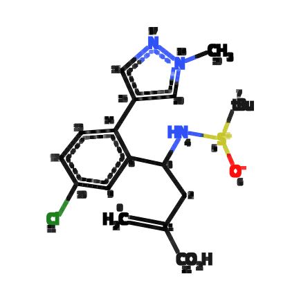 C=C(CC(N[S+]([O-])C(C)(C)C)c1cc(Cl)ccc1-c1cnn(C)c1)C(=O)O